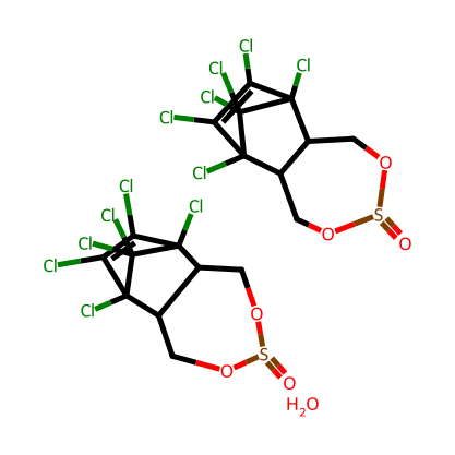 O.O=S1OCC2C(CO1)C1(Cl)C(Cl)=C(Cl)C2(Cl)C1(Cl)Cl.O=S1OCC2C(CO1)C1(Cl)C(Cl)=C(Cl)C2(Cl)C1(Cl)Cl